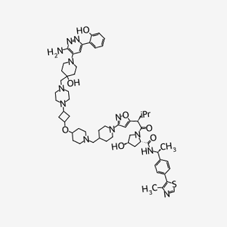 Cc1ncsc1-c1ccc([C@H](C)NC(=O)[C@@H]2C[C@@H](O)CN2C(=O)[C@@H](c2cc(N3CCC(CN4CCC(OC5CC(N6CCN(CC7(O)CCN(c8cc(-c9ccccc9O)nnc8N)CC7)CC6)C5)CC4)CC3)no2)C(C)C)cc1